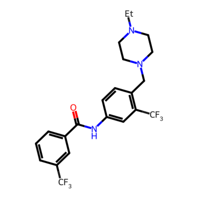 CCN1CCN(Cc2ccc(NC(=O)c3cccc(C(F)(F)F)c3)cc2C(F)(F)F)CC1